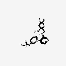 CC(C)(C)OC(=O)N[C@H]1CCCN(c2ccncc2NCc2nc(Br)c(F)cc2N)C1